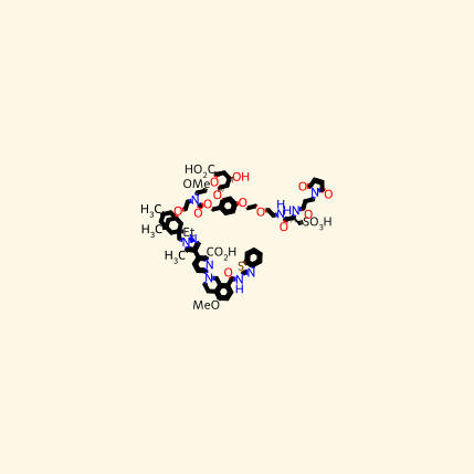 CCC1(Cn2ncc(-c3ccc(N4CCc5c(OC)ccc(C(=O)Nc6nc7ccccc7s6)c5C4)nc3C(=O)O)c2C)CC2(C)CC(C)CC(OCCN(CCOC)C(=O)OCc3ccc(OCCOCCNC(=O)[C@H](CS(=O)(=O)O)NC(=O)CCN4C(=O)C=CC4=O)cc3O[C@H]3C[C@@H](O)C[C@@H](C(=O)O)O3)(C2)C1